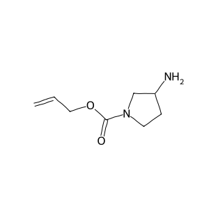 C=CCOC(=O)N1CCC(N)C1